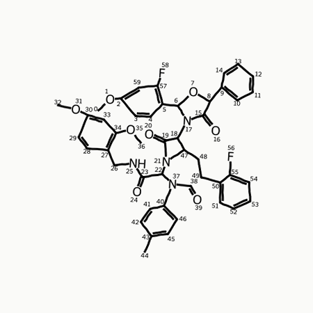 COc1ccc(C2OC(c3ccccc3)C(=O)N2C2C(=O)N(C(C(=O)NCc3ccc(OC)cc3OC)N(C=O)c3ccc(C)cc3)C2CCc2ccccc2F)c(F)c1